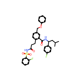 CC(C)CC(NC(=O)c1cc(COc2ccccc2)ccc1CCC(=O)NS(=O)(=O)c1ccccc1F)c1ccc(F)cc1